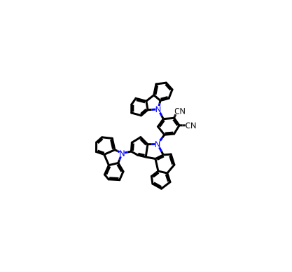 N#Cc1cc(-n2c3ccc(-n4c5ccccc5c5ccccc54)cc3c3c4ccccc4ccc32)cc(-n2c3ccccc3c3ccccc32)c1C#N